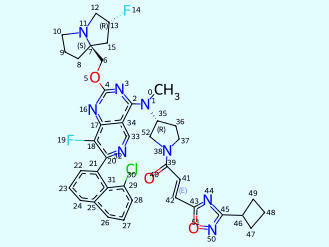 CN(c1nc(OC[C@@]23CCCN2C[C@H](F)C3)nc2c(F)c(-c3cccc4cccc(Cl)c34)ncc12)[C@@H]1CCN(C(=O)/C=C/c2nc(C3CCC3)no2)C1